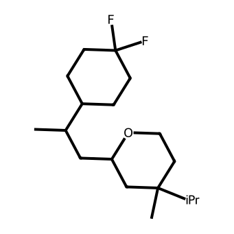 CC(CC1CC(C)(C(C)C)CCO1)C1CCC(F)(F)CC1